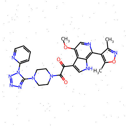 COc1cnc(-c2c(C)noc2C)c2[nH]cc(C(=O)C(=O)N3CCN(c4nnnn4-c4ccccn4)CC3)c12